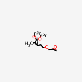 CCCO[SiH](OCCC)C(C)CCCOCC1CO1